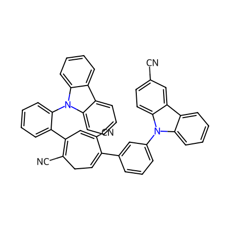 N#CC1=CC(c2ccccc2-n2c3ccccc3c3ccccc32)=C(C#N)CC=C1c1cccc(-n2c3ccccc3c3cc(C#N)ccc32)c1